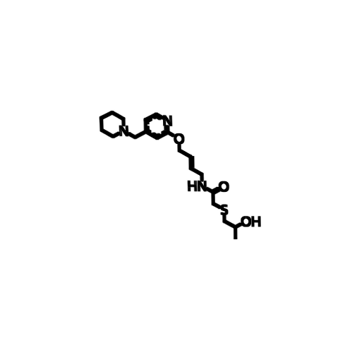 CC(O)CSCC(=O)NCC=CCOc1cc(CN2CCCCC2)ccn1